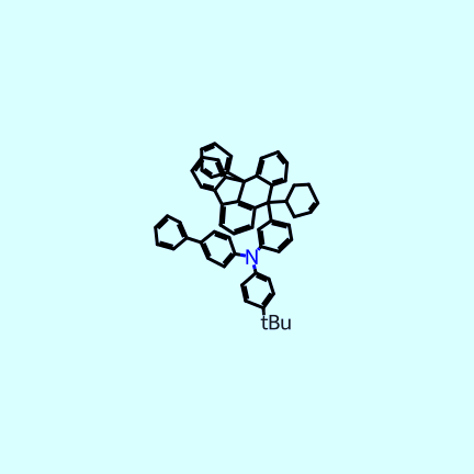 CC(C)(C)c1ccc(N(c2ccc(-c3ccccc3)cc2)c2cccc(C3(C4CC=CCC4)c4ccccc4C4(c5ccccc5)c5ccccc5-c5cccc3c54)c2)cc1